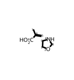 C1COCN1.C=C(C)C(=O)O